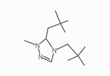 CN1N=CN(CC(C)(C)C)C1CC(C)(C)C